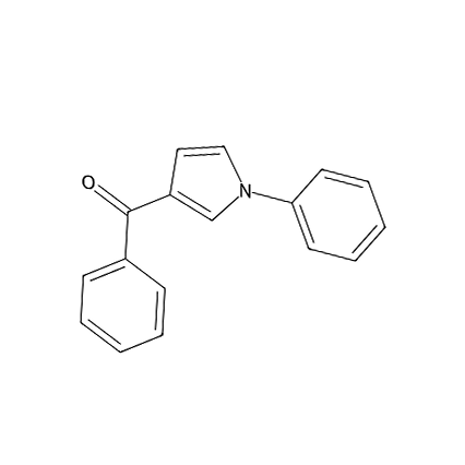 O=C(c1ccccc1)c1ccn(-c2ccccc2)c1